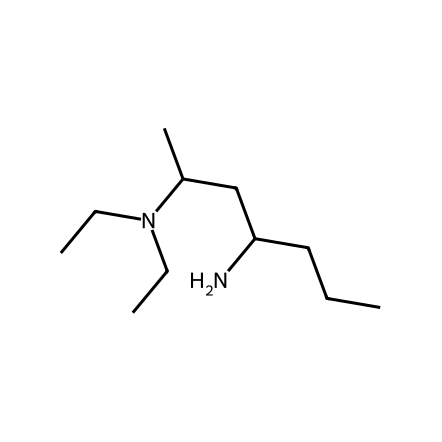 CCCC(N)CC(C)N(CC)CC